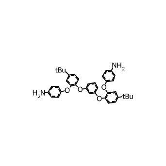 CC(C)(C)c1ccc(Oc2cccc(Oc3ccc(C(C)(C)C)cc3Oc3ccc(N)cc3)c2)c(Oc2ccc(N)cc2)c1